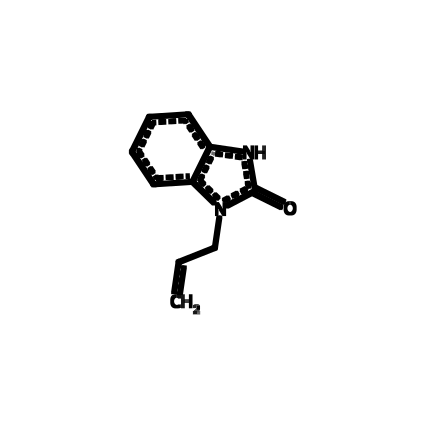 C=CCn1c(=O)[nH]c2ccccc21